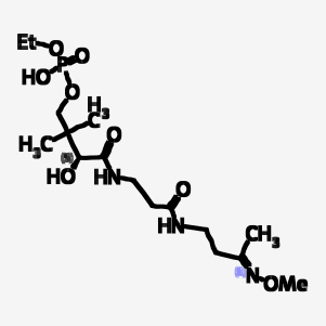 CCOP(=O)(O)OCC(C)(C)[C@H](O)C(=O)NCCC(=O)NCC/C(C)=N/OC